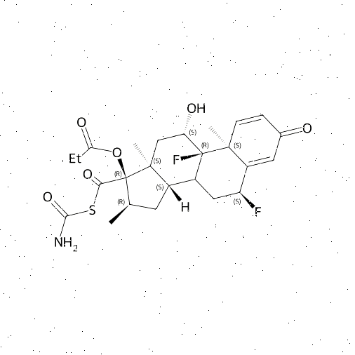 CCC(=O)O[C@]1(C(=O)SC(N)=O)[C@H](C)C[C@H]2C3C[C@H](F)C4=CC(=O)C=C[C@]4(C)[C@@]3(F)[C@@H](O)C[C@@]21C